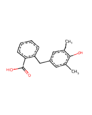 Cc1cc(Cc2ccccc2C(=O)O)cc(C)c1O